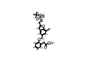 CC(C)(C)NS(=O)(=O)N=Cc1cc2cc(COc3ccccc3CC(=O)O)cc(I)c2o1